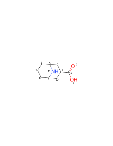 O=C(O)C1CC2CCCC(C1)N2